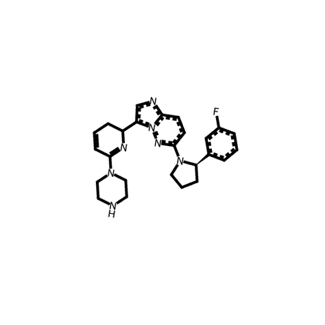 Fc1cccc([C@H]2CCCN2c2ccc3ncc(C4CC=CC(N5CCNCC5)=N4)n3n2)c1